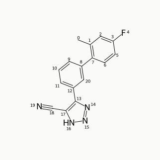 Cc1cc(F)ccc1-c1cccc(-c2nn[nH]c2C#N)c1